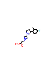 Cc1cc(F)ccc1[C@@H]1CCCN(C2CN(CCC(=O)O)C2)C1